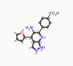 Nc1c(-c2ccc(C(=O)O)cc2)nc2[nH]ncc2c1-c1ccco1